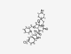 CC(=O)N1CCC2(CC1)CN1C(=O)CN(S(=O)(=O)c3cc4cc(Cl)ccc4[nH]3)CC1(COCc1ccccn1)O2